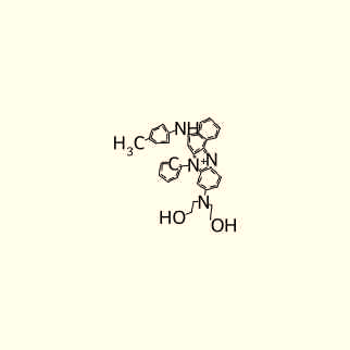 Cc1ccc(Nc2cc3c(nc4ccc(N(CCO)CCO)cc4[n+]3-c3ccccc3)c3ccccc23)cc1